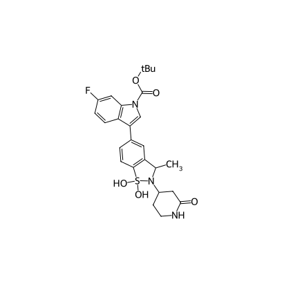 CC1c2cc(-c3cn(C(=O)OC(C)(C)C)c4cc(F)ccc34)ccc2S(O)(O)N1C1CCNC(=O)C1